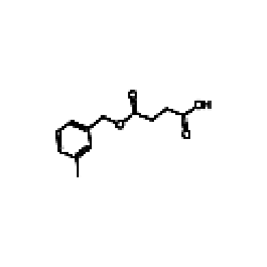 Cc1cccc(COC(=O)CCC(=O)O)c1